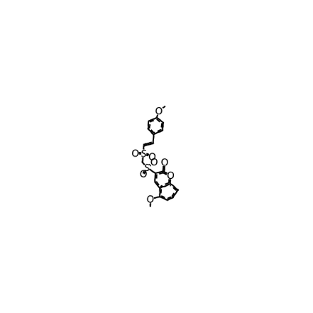 COc1ccc(C=CS(=O)(=O)CS(=O)(=O)c2cc3c(OC)cccc3oc2=O)cc1